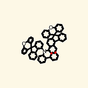 c1ccc(-c2ccccc2N(c2cccc3c2-c2ccccc2C32c3ccccc3Oc3ccccc32)c2cccc3c4c(ccc23)C2(c3ccccc3Oc3ccccc32)c2ccccc2-4)cc1